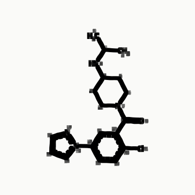 CC(C)NC1CCN(C(=O)c2cc(-n3cccn3)ccc2Cl)CC1